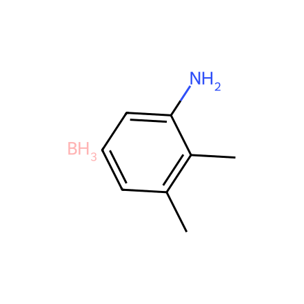 B.Cc1cccc(N)c1C